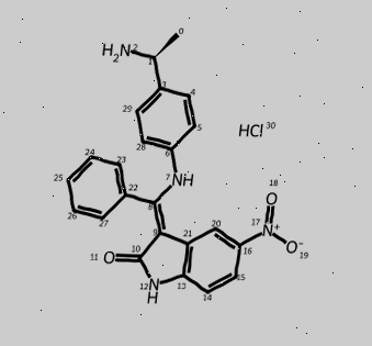 C[C@H](N)c1ccc(NC(=C2C(=O)Nc3ccc([N+](=O)[O-])cc32)c2ccccc2)cc1.Cl